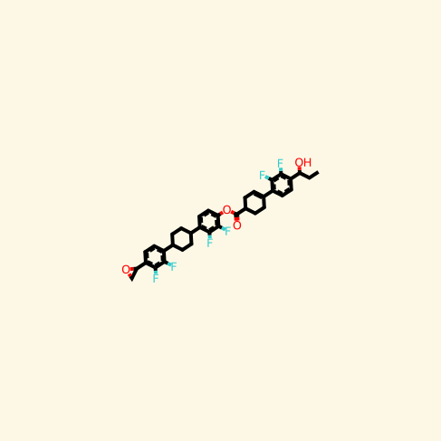 CCC(O)c1ccc(C2=CCC(C(=O)Oc3ccc(C4CCC(c5ccc(C6CO6)c(F)c5F)CC4)c(F)c3F)CC2)c(F)c1F